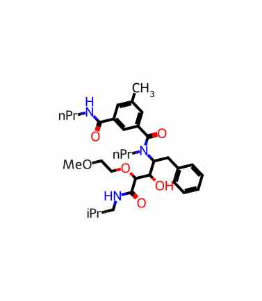 CCCNC(=O)c1cc(C)cc(C(=O)N(CCC)C(Cc2ccccc2)C(O)C(OCCOC)C(=O)NCC(C)C)c1